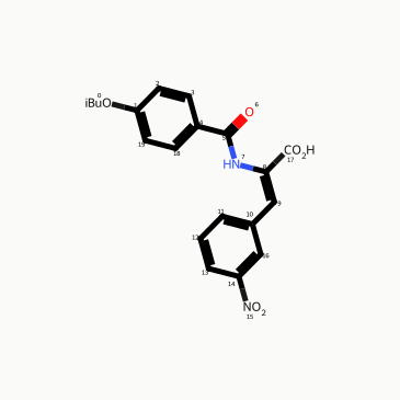 CC(C)COc1ccc(C(=O)N/C(=C\c2cccc([N+](=O)[O-])c2)C(=O)O)cc1